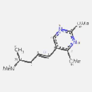 CN[C@@H](C)C/C=C/c1cnc(OC)nc1OC